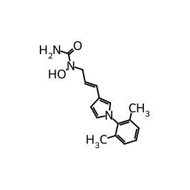 Cc1cccc(C)c1-n1ccc(/C=C/CN(O)C(N)=O)c1